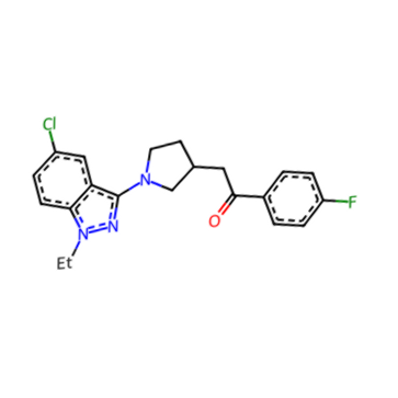 CCn1nc(N2CCC(CC(=O)c3ccc(F)cc3)C2)c2cc(Cl)ccc21